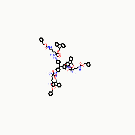 N[C@](CCCCNC(=O)OCc1ccccc1)(C(=O)Nc1ccc(C(c2ccc(NC(=O)[C@](N)(CCCCNC(=O)OCc3ccccc3)C(=O)OCC3c4ccccc4-c4ccccc43)cc2)c2ccc(NC(=O)[C@](N)(CCCCNC(=O)OCc3ccccc3)C(=O)OCC3c4ccccc4-c4ccccc43)cc2)cc1)C(=O)OCC1c2ccccc2-c2ccccc21